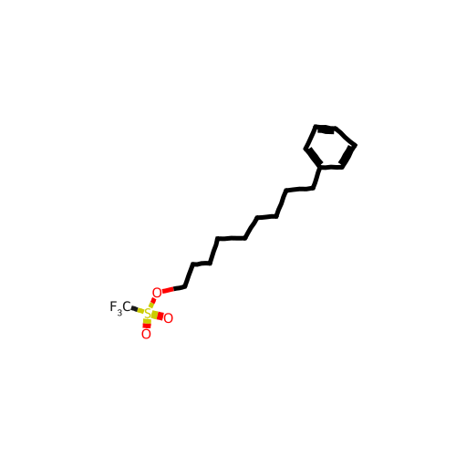 O=S(=O)(OCCCCCCCCCc1ccccc1)C(F)(F)F